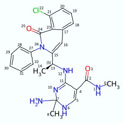 CNC(=O)C1=CNC(C)(N)N=C1N[C@@H](C)c1cc2cccc(Cl)c2c(=O)n1-c1ccccc1